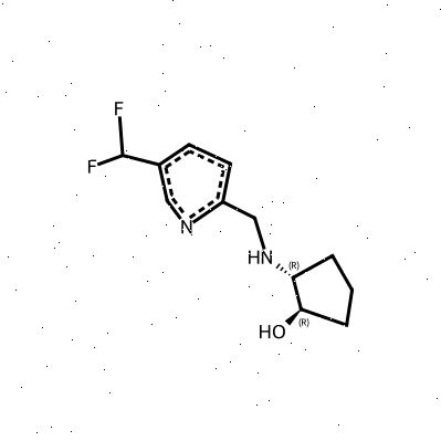 O[C@@H]1CCC[C@H]1NCc1ccc(C(F)F)cn1